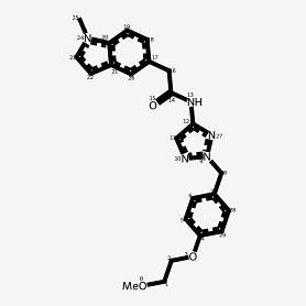 COCCOc1ccc(Cn2ncc(NC(=O)Cc3ccc4c(ccn4C)c3)n2)cc1